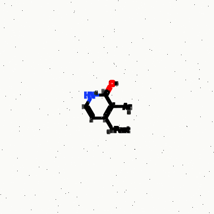 CCCCCc1cc[nH]c(=O)c1C(C)=O